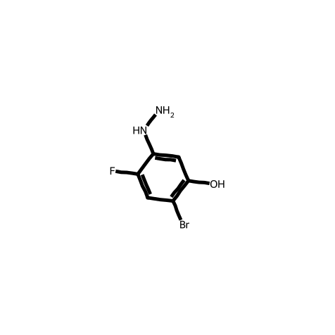 NNc1cc(O)c(Br)cc1F